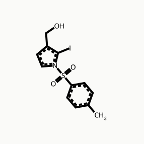 Cc1ccc(S(=O)(=O)n2ccc(CO)c2I)cc1